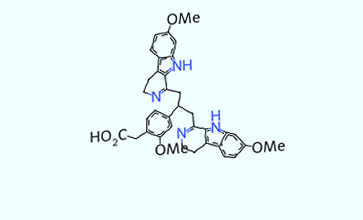 COc1ccc2c3c([nH]c2c1)C(CC(CC1=NCCc2c1[nH]c1cc(OC)ccc21)c1ccc(CC(=O)O)c(OC)c1)=NCC3